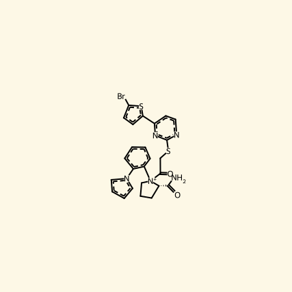 NC(=O)[C@@H]1CCC[N+]1(C(=O)CSc1nccc(-c2ccc(Br)s2)n1)c1ccccc1-n1cccc1